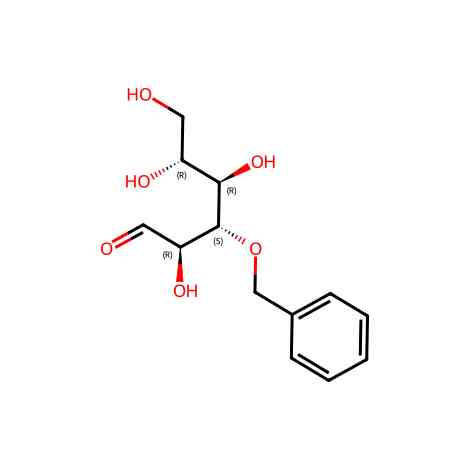 O=C[C@H](O)[C@@H](OCc1ccccc1)[C@H](O)[C@H](O)CO